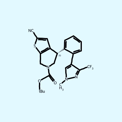 Cn1cc(-c2ccccc2[C@@H]2CN(C(=O)OC(C)(C)C)Cc3sc(C#N)cc32)c(C(F)(F)F)n1